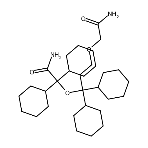 NC(=O)COCCC(OC(C(N)=O)(C1CCCCC1)C1CCCCC1)(C1CCCCC1)C1CCCCC1